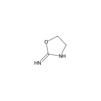 N=C1NCCO1